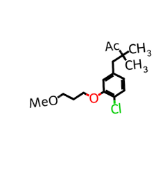 COCCCOc1cc(CC(C)(C)C(C)=O)ccc1Cl